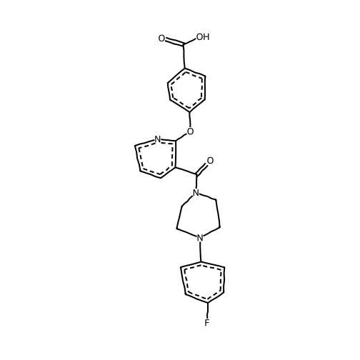 O=C(O)c1ccc(Oc2ncccc2C(=O)N2CCN(c3ccc(F)cc3)CC2)cc1